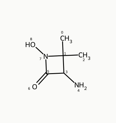 CC1(C)C(N)C(=O)N1O